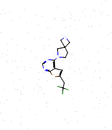 FC(F)(F)Cc1cc2c(N3CCC4(CNC4)C3)ncnc2s1